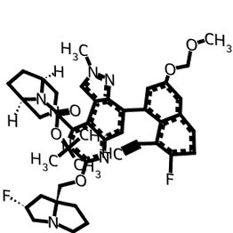 C#Cc1c(F)ccc2cc(OCOC)cc(-c3cc4nc(OC[C@@]56CCCN5C[C@H](F)C6)nc(N5C[C@H]6CC[C@@H](C5)N6C(=O)OC(C)(C)C)c4c4cn(C)nc34)c12